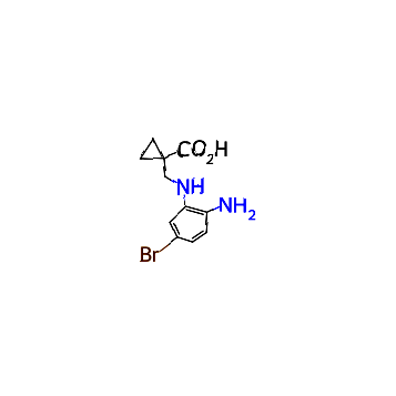 Nc1ccc(Br)cc1NCC1(C(=O)O)CC1